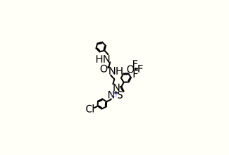 O=C(CNCc1ccccc1)NCCCn1c(C2C=CC(OC(F)(F)F)=CC2)cs/c1=N\Cc1ccc(Cl)cc1